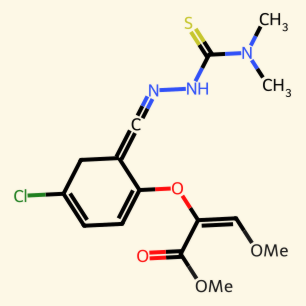 COC=C(OC1=CC=C(Cl)CC1=C=NNC(=S)N(C)C)C(=O)OC